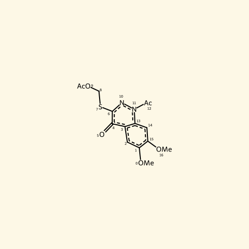 COc1cc2c(=O)c(SCOC(C)=O)nn(C(C)=O)c2cc1OC